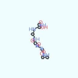 C[C@@H](Cc1cccc(CCNC(=O)c2ccc(N(C)C(=O)CCN3CCC(OC(=O)Nc4ccccc4-c4ccccc4)CC3)cc2)c1)NCCc1ccc(O)c2[nH]c(=O)ccc12